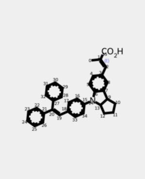 C/C(=C\c1ccc2c(c1)C1CCCC1N2c1ccc(C=C(c2ccccc2)c2ccccc2)cc1)C(=O)O